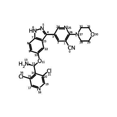 N#Cc1cc(-c2n[nH]c3ccc(O[C@H](N)c4c(Cl)cncc4Cl)cc23)cnc1N1CCOCC1